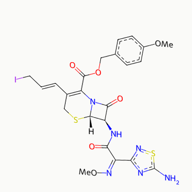 CO/N=C(\C(=O)N[C@@H]1C(=O)N2C(C(=O)OCc3ccc(OC)cc3)=C(/C=C/CI)CS[C@@H]12)c1nsc(N)n1